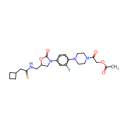 CC(=O)OCC(=O)N1CCN(c2ccc(N3CC(CNC(=S)CC4CCC4)OC3=O)cc2F)CC1